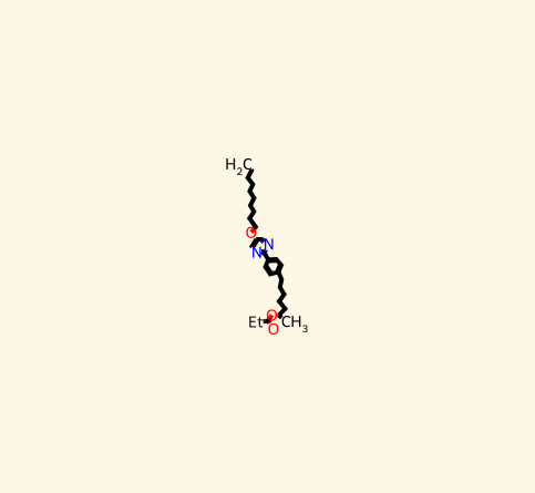 C=CCCCCCCCCOc1cnc(-c2ccc(CCCCCC(C)OC(=O)CC)cc2)nc1